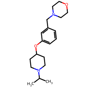 CC(C)N1CCC(Oc2cccc(CN3CCOCC3)c2)CC1